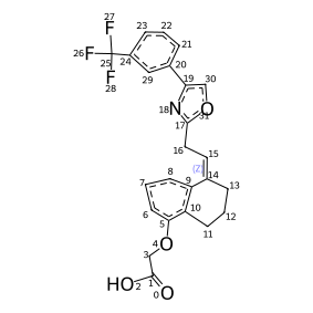 O=C(O)COc1cccc2c1CCC/C2=C/Cc1nc(-c2cccc(C(F)(F)F)c2)co1